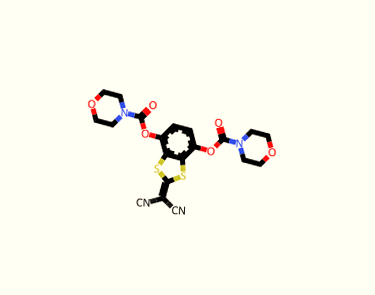 [C-]#[N+]C(C#N)=C1Sc2c(OC(=O)N3CCOCC3)ccc(OC(=O)N3CCOCC3)c2S1